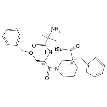 CC(C)(C)C(=O)[C@@]1(Cc2ccccc2)CCCN(C(=O)[C@@H](COCc2ccccc2)NC(=O)C(C)(C)N)C1